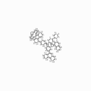 c1ccc(-c2ccc(N(c3ccc(-c4cccc5c4-c4ccccc4C54c5ccccc5Oc5ccccc54)cc3)c3ccc(-c4cc5ccccc5c5ccccc45)cc3)c3oc4c5ccccc5ccc4c23)cc1